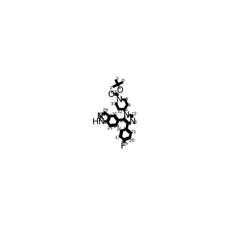 CC(C)(C)OC(=O)N1CCC(n2cnc(-c3ccc(F)cc3)c2-c2ccc3[nH]ncc3c2)CC1